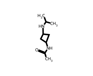 CC(=O)NC1CC(NC(C)C)C1